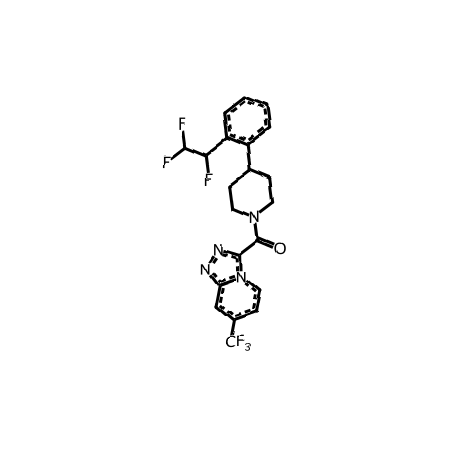 O=C(c1nnc2cc(C(F)(F)F)ccn12)N1CCC(c2ccccc2C(F)C(F)F)CC1